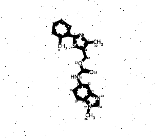 Cc1ccccc1-c1nc(C)c(COC(=O)Nc2ccc3c(c2)ncn3C)s1